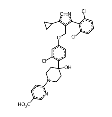 O=C(O)c1ccc(N2CCC(O)(c3ccc(OCc4c(-c5c(Cl)cccc5Cl)noc4C4CC4)cc3Cl)CC2)nc1